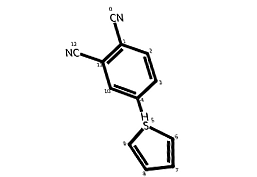 N#Cc1ccc([SH]2C=CC=C2)cc1C#N